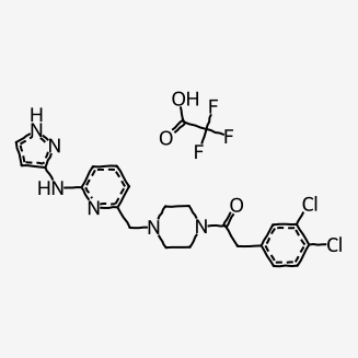 O=C(Cc1ccc(Cl)c(Cl)c1)N1CCN(Cc2cccc(Nc3cc[nH]n3)n2)CC1.O=C(O)C(F)(F)F